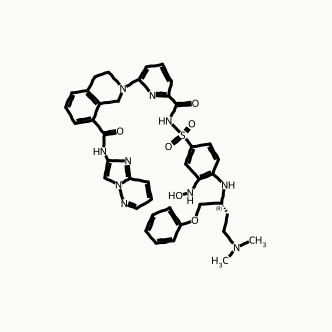 CN(C)CC[C@H](COc1ccccc1)Nc1ccc(S(=O)(=O)NC(=O)c2cccc(N3CCc4cccc(C(=O)Nc5cn6ncccc6n5)c4C3)n2)cc1NO